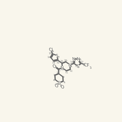 O=C(C1CCS(=O)(=O)CC1)N1CCN(c2nnc(C(F)(F)F)s2)CC1c1ccc(Cl)s1